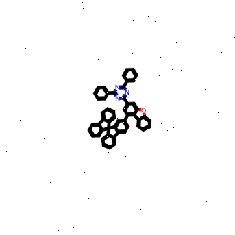 c1ccc(-c2nc(-c3ccccc3)nc(-c3cc(-c4ccc5c(c4)C4(c6ccccc6-c6ccccc64)c4ccccc4-5)c4c(c3)oc3ccccc34)n2)cc1